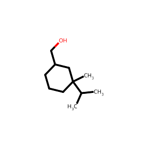 CC(C)C1(C)CCCC(CO)C1